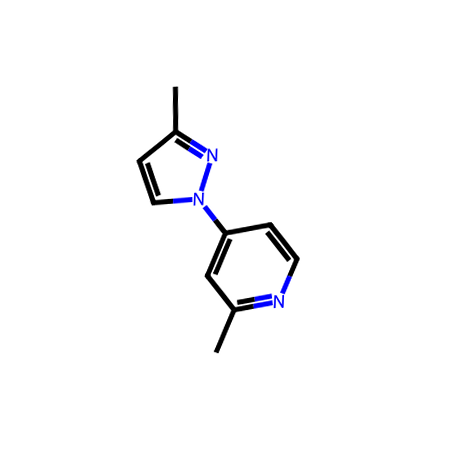 Cc1cc(-n2ccc(C)n2)ccn1